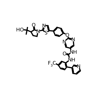 CC(C)(O)C1CCN(c2ncc(-c3ccc(Oc4ncc(NC(=O)Nc5cc(C(F)(F)F)ccc5-c5cccnc5)cn4)cc3)s2)C1=O